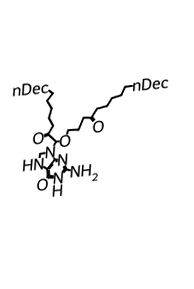 CCCCCCCCCCCCCCCC(=O)CCCOC(C(=O)CCCCCCCCCCCCCCC)N1CNc2c1nc(N)[nH]c2=O